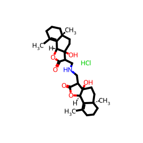 CC1=C2[C@H]3OC(=O)C(CNCC4C(=O)O[C@H]5C6=C(C)CCC[C@]6(C)CCC45O)C3(O)CC[C@@]2(C)CCC1.Cl